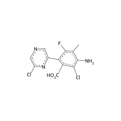 Cc1c(N)c(Cl)c(C(=O)O)c(-c2cncc(Cl)n2)c1F